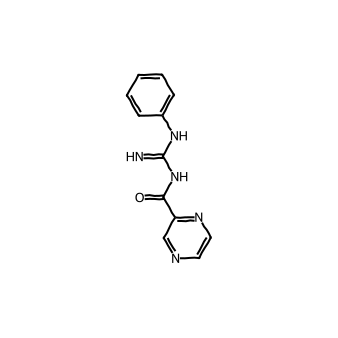 N=C(NC(=O)c1cnccn1)Nc1ccccc1